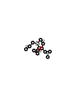 c1ccc(-n2c3ccccc3c3cc(-c4cc(-c5ccc6oc7cccc(-c8nc(-c9cccc(-c%10ccc%11c(c%10)oc%10ccccc%10%11)c9)nc(-c9cccc(-n%10c%11ccccc%11c%11ccccc%11%10)c9)n8)c7c6c5)cc5c4sc4ccccc45)ccc32)cc1